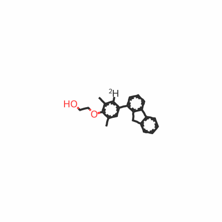 [2H]c1c(-c2cccc3c2Cc2ccccc2-3)cc(C)c(OCCO)c1C